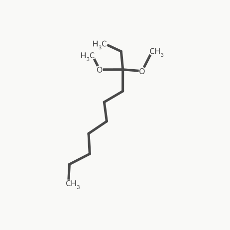 CCCCCCCC(CC)(OC)OC